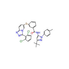 Cc1ccc(-n2nc(C(C)(C)C)cc2NC(=O)c2cccc(Sc3ccc4nnc(-c5c(Cl)cccc5Cl)n4c3)c2)cc1